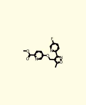 COC(=O)c1ccc(OCc2c(-c3ccc(F)cn3)noc2C)cn1